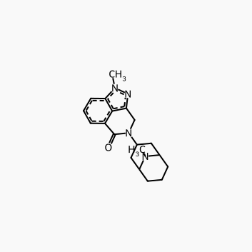 CN1C2CCCC1CC(N1Cc3nn(C)c4cccc(c34)C1=O)C2